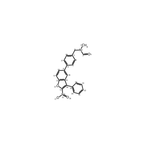 CN(C=O)Cc1ccc(-c2ccc3oc([N+](=O)[O-])c(-c4ccccc4)c3c2)cc1